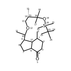 CC1CCC(=O)C2CCC(C(C)OC[C@H](C)C(C)(C)O[Si](C)(C)C(C)(C)C)C12